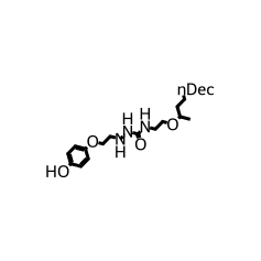 CCCCCCCCCCCCC(C)OCCNC(=O)NNCCOc1ccc(O)cc1